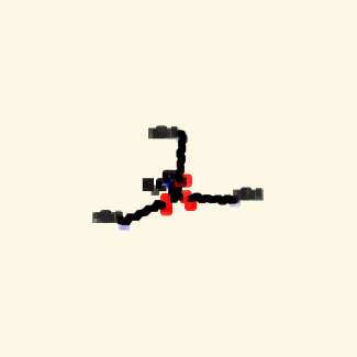 CCCCCCCC/C=C\CCCCCCCC(=O)OCC(CCN(C)C)(COC(=O)CCCCCCC/C=C\CCCCCCCC)COC(=O)CCCCCCC/C=C\CCCCCCCC